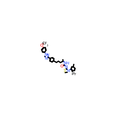 Cc1ccc(C(C)C)c(N2CCS/C2=N\C(=O)NC(C)CCCc2ccc(-c3ncn(-c4ccc(OC(F)(F)F)cc4)n3)cc2)c1